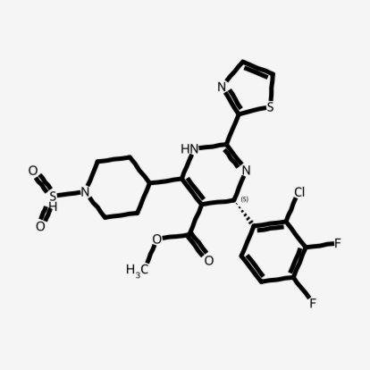 COC(=O)C1=C(C2CCN([SH](=O)=O)CC2)NC(c2nccs2)=N[C@@H]1c1ccc(F)c(F)c1Cl